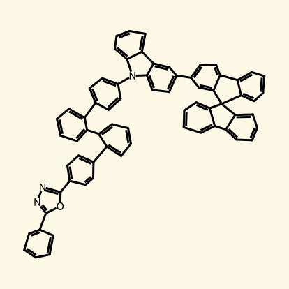 c1ccc(-c2nnc(-c3ccc(-c4ccccc4-c4ccccc4-c4ccc(-n5c6ccccc6c6cc(-c7ccc8c(c7)C7(c9ccccc9-c9ccccc97)c7ccccc7-8)ccc65)cc4)cc3)o2)cc1